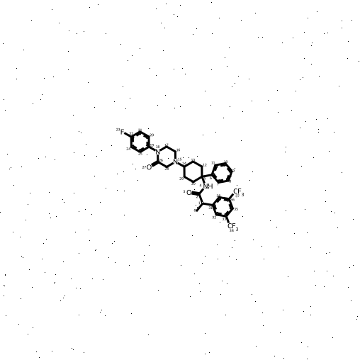 CC(C(=O)NC1(c2ccccc2)CCC(N2CCN(c3ccc(F)cc3)C(=O)C2)CC1)c1cc(C(F)(F)F)cc(C(F)(F)F)c1